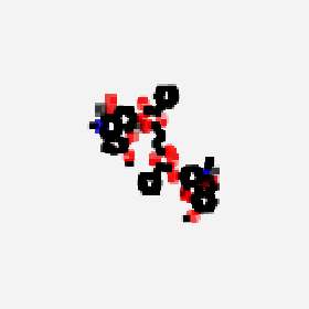 COc1ccc2c3c1O[C@H]1C(OC(=O)[C@@H](OC(=O)CCC(=O)O[C@H](C(=O)OC4=CC[C@@]5(O)[C@H]6Cc7ccc(OC)c8c7[C@@]5(CCN6C)[C@H]4O8)c4ccccc4)c4ccccc4)=CC[C@@]4(O)[C@@H](C2)N(C)CC[C@]314